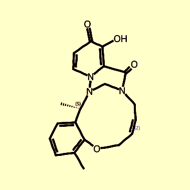 Cc1cccc2c1OC/C=C\CN1CN([C@H]2C)n2ccc(=O)c(O)c2C1=O